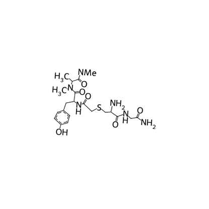 CNC(=O)C(C)N(C)C(=O)C(Cc1ccc(O)cc1)NC(=O)CSCC(N)C(=O)NCC(N)=O